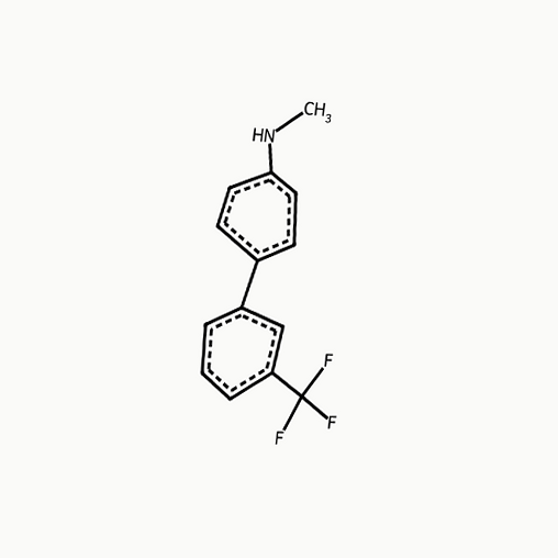 CNc1ccc(-c2cccc(C(F)(F)F)c2)cc1